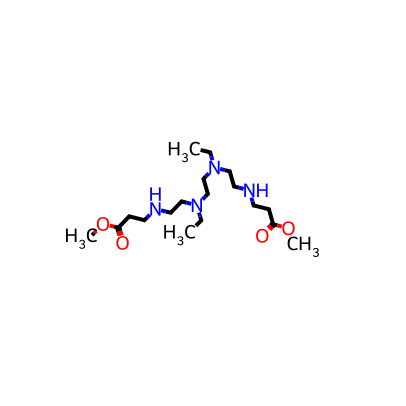 CCN(CCNCCC(=O)OC)CCN(CC)CCNCCC(=O)OC